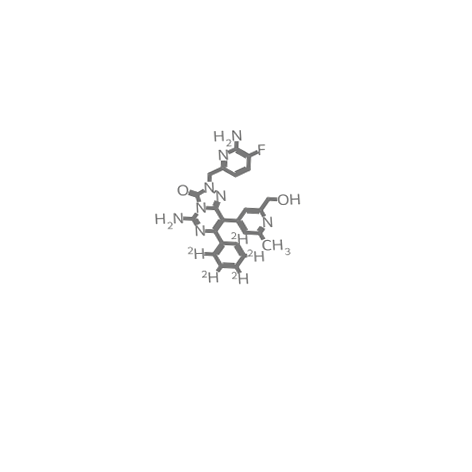 [2H]c1c([2H])c([2H])c(-c2nc(N)n3c(=O)n(Cc4ccc(F)c(N)n4)nc3c2-c2cc(C)nc(CO)c2)c([2H])c1[2H]